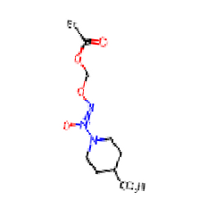 CCC(=O)OCON=[N+]([O-])N1CCC(C(=O)O)CC1